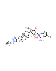 CC(C)C1=C2[C@H]3CC[C@@H]4[C@@]5(C)CC=C(c6cn(CC(=O)O)nn6)C(C)(C)[C@@H]5CC[C@@]4(C)[C@]3(C)CC[C@@]2(C(O)CN(CCN(C)C)Cc2ccc(Cl)cc2)CC1=O.Cl